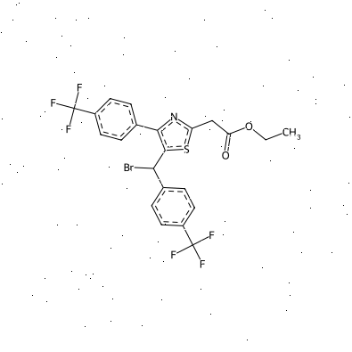 CCOC(=O)Cc1nc(-c2ccc(C(F)(F)F)cc2)c(C(Br)c2ccc(C(F)(F)F)cc2)s1